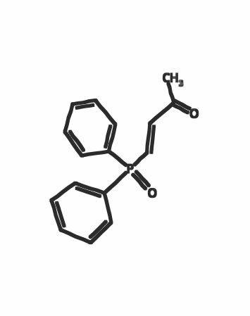 CC(=O)C=CP(=O)(c1ccccc1)c1ccccc1